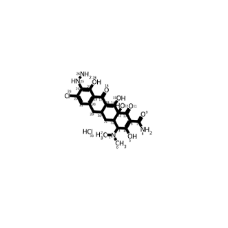 CN(C)C1C(O)=C(C(N)=O)C(=O)C2(O)C(O)=C3C(=O)c4c(cc(Cl)c(NN)c4O)CC3CC12.Cl